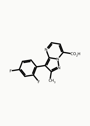 Cc1nn2c(C(=O)O)ccnc2c1-c1ccc(F)cc1F